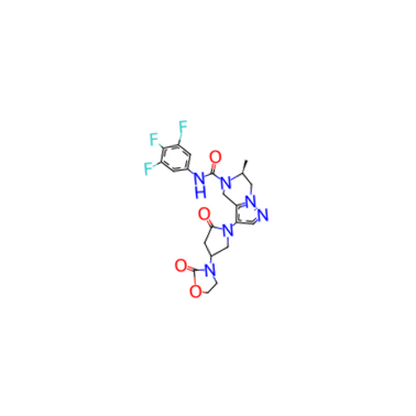 C[C@H]1Cn2ncc(N3CC(N4CCOC4=O)CC3=O)c2CN1C(=O)Nc1cc(F)c(F)c(F)c1